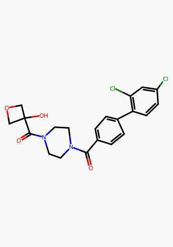 O=C(c1ccc(-c2ccc(Cl)cc2Cl)cc1)N1CCN(C(=O)C2(O)COC2)CC1